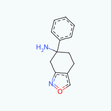 NC1(c2ccccc2)CCc2conc2C1